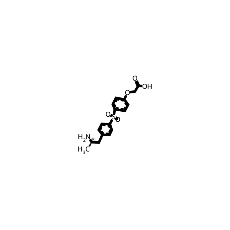 C[C@@H](N)Cc1ccc(S(=O)(=O)c2ccc(OCC(=O)O)cc2)cc1